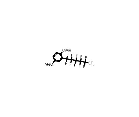 COc1ccc(OC)c(C(F)(F)C(F)(F)C(F)(F)C(F)(F)C(F)(F)C(F)(F)F)c1